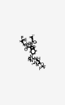 Cn1nc(OC(F)F)cc1Nc1nncn1[C@H]1CCc2sc(NC(=O)C3CC3)c(C(=O)NCC3CC3(F)F)c2C1